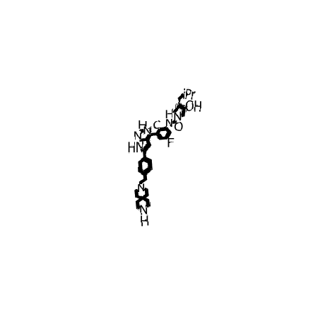 Cc1c(NC(=O)N2C[C@@H](CC(C)C)[C@@H](O)C2)cc(F)cc1-c1ncnc2[nH]c(-c3ccc(CCN4CCC5(CCNCC5)CC4)cc3)cc12